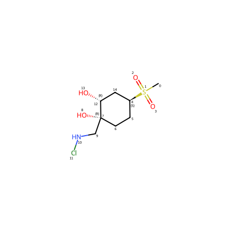 CS(=O)(=O)[C@H]1CC[C@@](O)(CNCl)[C@H](O)C1